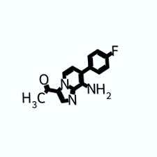 CC(=O)c1cnc2c(N)c(-c3ccc(F)cc3)ccn12